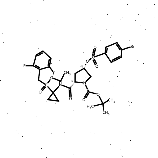 CCOP(=O)(Cc1c(F)cccc1F)C1(NC(=O)[C@@H]2C[C@H](OS(=O)(=O)c3ccc(Br)cc3)CN2C(=O)OC(C)(C)C)CC1